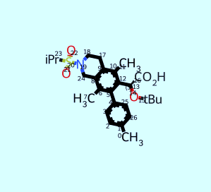 Cc1ccc(-c2c(C)c3c(c(C)c2[C@H](OC(C)(C)C)C(=O)O)CCN(S(=O)(=O)C(C)C)C3)cc1